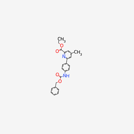 CCOC(=O)c1cc(C)cc(-c2ccc(NC(=O)OCc3ccccc3)cc2)n1